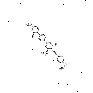 CCCCc1ccc(-c2ccc(-c3cc(C)c(C#Cc4ccc(OCCC)cc4)c(F)c3)cc2)c(F)c1